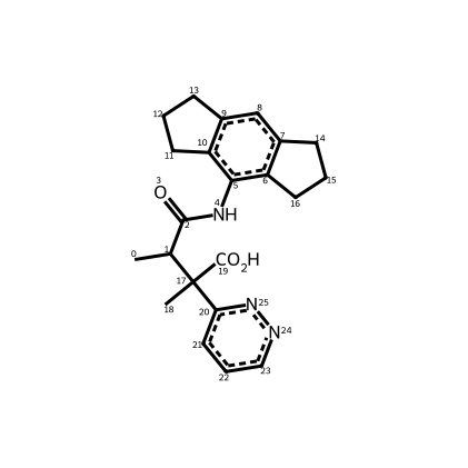 CC(C(=O)Nc1c2c(cc3c1CCC3)CCC2)C(C)(C(=O)O)c1cccnn1